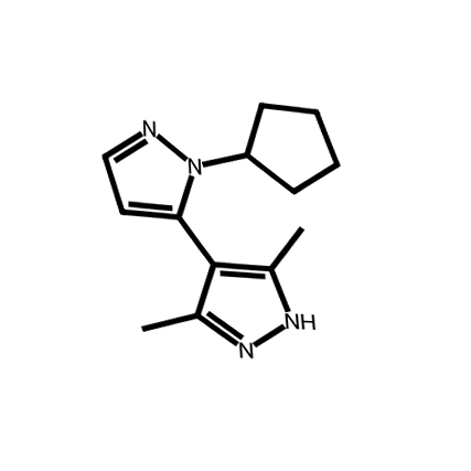 Cc1n[nH]c(C)c1-c1ccnn1C1CCCC1